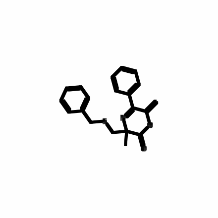 C=C1OC(=O)C(C)(CSCc2ccccc2)N=C1c1ccccc1